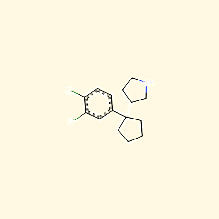 Clc1ccc(C2([C@@H]3CCNC3)CCCC2)cc1Cl